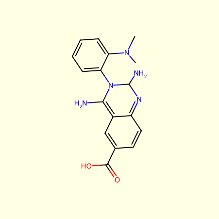 CN(C)c1ccccc1N1C(N)=c2cc(C(=O)O)ccc2=NC1N